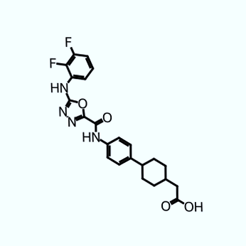 O=C(O)CC1CCC(c2ccc(NC(=O)c3nnc(Nc4cccc(F)c4F)o3)cc2)CC1